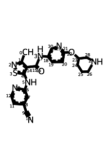 Cc1nsc(Nc2cc(C#N)ccn2)c1C(=O)Nc1ccc(OC2CCCNC2)nc1